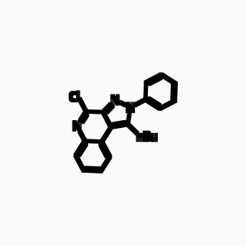 CCCCc1c2c(nn1-c1ccccc1)c(Cl)nc1ccccc12